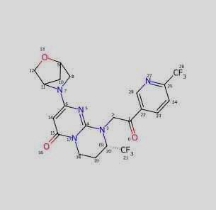 O=C(CN1c2nc(N3CC4CC3CO4)cc(=O)n2CC[C@H]1C(F)(F)F)c1ccc(C(F)(F)F)nc1